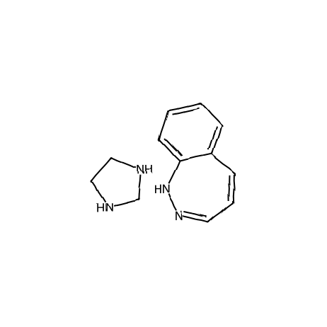 C1=Cc2ccccc2NN=C1.C1CNCN1